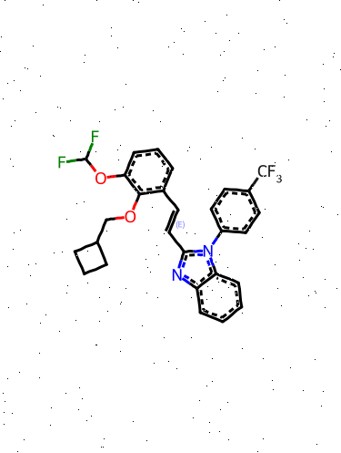 FC(F)Oc1cccc(/C=C/c2nc3ccccc3n2-c2ccc(C(F)(F)F)cc2)c1OCC1CCC1